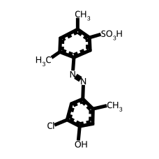 Cc1cc(O)c(Cl)cc1/N=N/c1cc(S(=O)(=O)O)c(C)cc1C